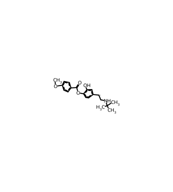 COc1ccc(C(=O)Oc2ccc([CH]CNC(C)(C)C)cc2O)cc1